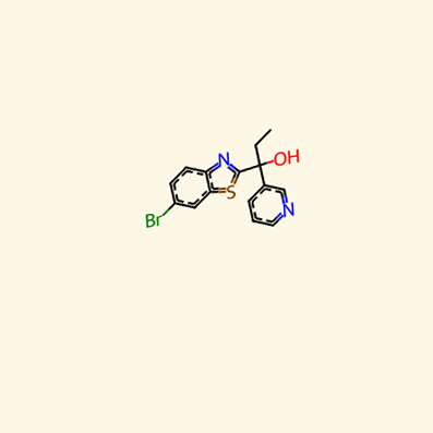 CCC(O)(c1cccnc1)c1nc2ccc(Br)cc2s1